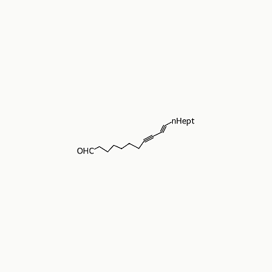 CCCCCCCC#CC#CCCCCCCC=O